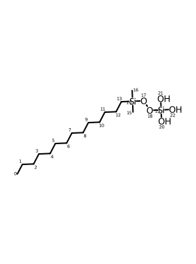 CCCCCCCCCCCCCC[Si](C)(C)OO[Si](O)(O)O